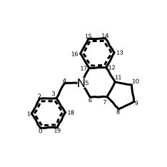 c1ccc(CN2CC3CCCC3c3ccccc32)cc1